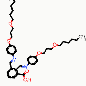 CCCCCCOCCCOc1ccc(N=Cc2cccc(C(=O)O)c2C=Nc2ccc(OCCCOCCCCCC)cc2)cc1